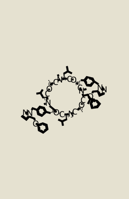 CC(C)CC1CO[C@H](C)CN(C)[C@@H](CC(C)C)CO[C@H](Cc2ccc(Cn3nccc3COc3ccccc3)cc2)CN(C)[C@@H](CC(C)C)CO[C@H](C)CN(C)[C@@H](CC(C)C)CO[C@H](Cc2ccc(Cn3nccc3COc3ccccc3)cc2)CN1C